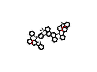 C[Si]1(C)c2cc(N(c3ccccc3-c3ccccc3)c3cccc4c3oc3ccccc34)ccc2-c2cc3c4ccccc4c(N(c4ccc5sc6ccccc6c5c4)c4ccccc4-c4ccccc4)cc3c3cccc1c23